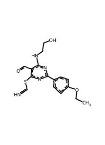 CCOc1ccc(-c2nc(NCCO)c(C=O)c(SC=N)n2)cc1